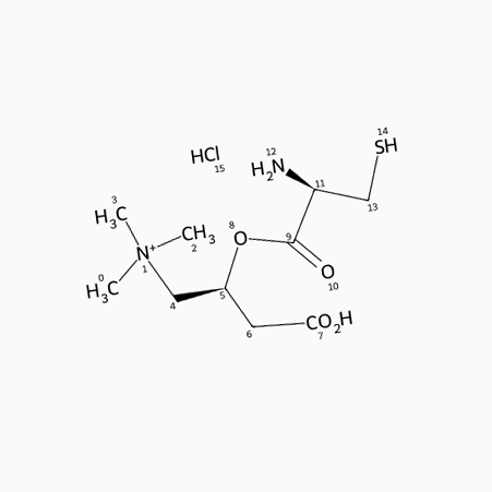 C[N+](C)(C)C[C@H](CC(=O)O)OC(=O)[C@@H](N)CS.Cl